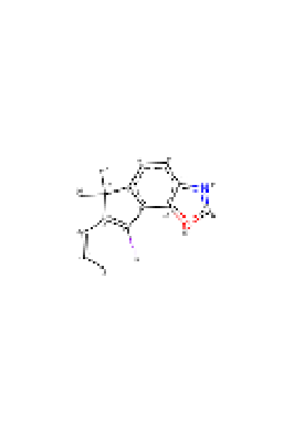 C/C=C\C1=C(I)c2c(ccc3ncoc23)C1(C)C